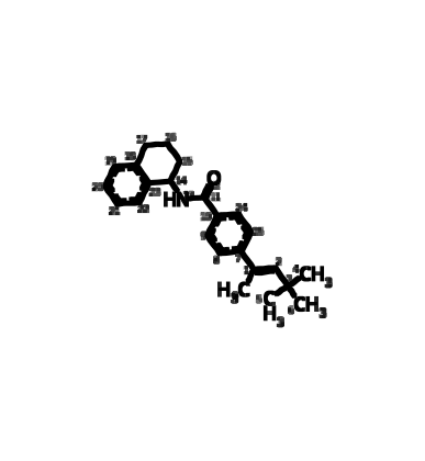 C/C(=C\C(C)(C)C)c1ccc(C(=O)NC2CCCc3ccccc32)cc1